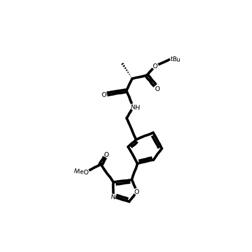 COC(=O)c1ncoc1-c1cccc(CNC(=O)[C@H](C)C(=O)OC(C)(C)C)c1